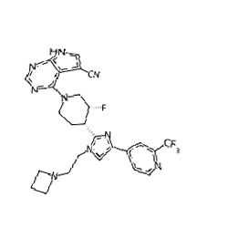 N#Cc1c[nH]c2ncnc(N3CC[C@@H](c4nc(-c5ccnc(C(F)(F)F)c5)cn4CCN4CCC4)[C@@H](F)C3)c12